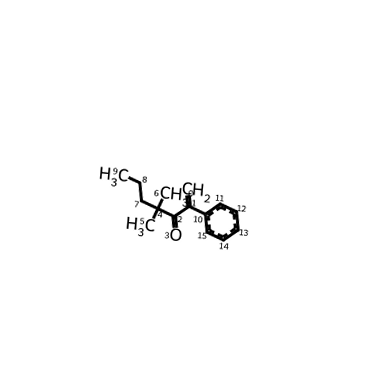 C=C(C(=O)C(C)(C)CCC)c1ccccc1